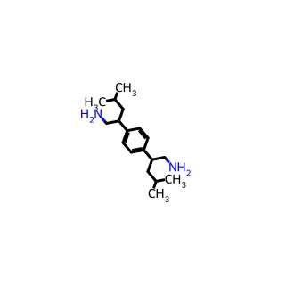 CC(C)CC(CN)c1ccc(C(CN)CC(C)C)cc1